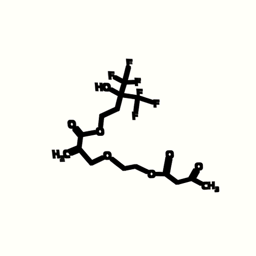 C=C(COCCOC(=O)CC(C)=O)C(=O)OCCC(O)(C(F)(F)F)C(F)(F)F